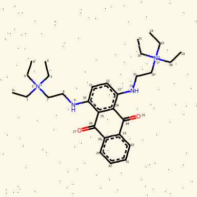 CC[N+](CC)(CC)CCNc1ccc(NCC[N+](CC)(CC)CC)c2c1C(=O)c1ccccc1C2=O